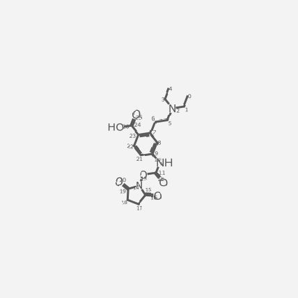 CCN(CC)CCc1cc(NC(=O)ON2C(=O)CCC2=O)ccc1C(=O)O